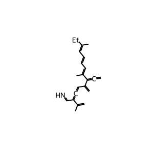 C=C=C(C(=C)C=C=C(C=N)C(=C)C)/C(C)=C/C=C/C=C(\C)CC